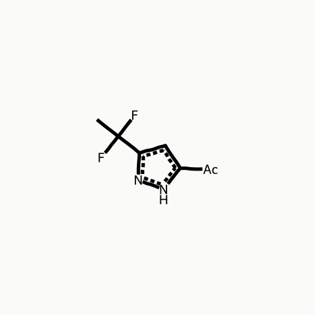 CC(=O)c1cc(C(C)(F)F)n[nH]1